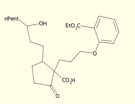 CCCCCC(O)CCC1CCC(=O)C1(CCCOc1ccccc1C(=O)OCC)C(=O)O